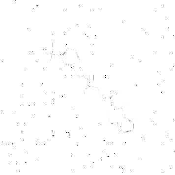 CC1c2cccn2CCN1C(=O)CCC(=O)NCc1cccc(C(F)(F)F)c1